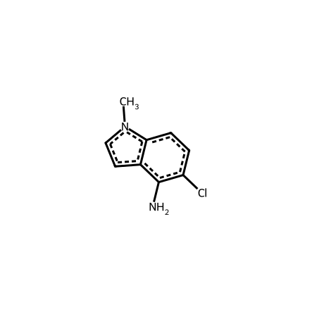 Cn1ccc2c(N)c(Cl)ccc21